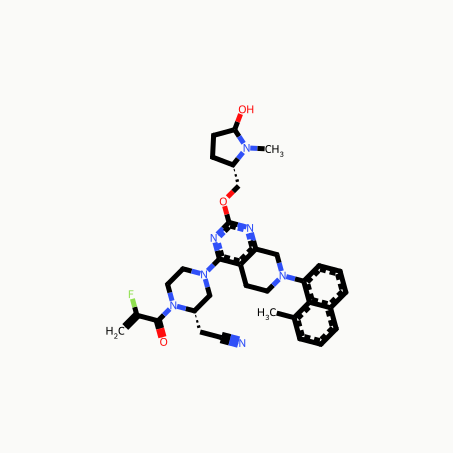 C=C(F)C(=O)N1CCN(c2nc(OC[C@@H]3CCC(O)N3C)nc3c2CCN(c2cccc4cccc(C)c24)C3)C[C@@H]1CC#N